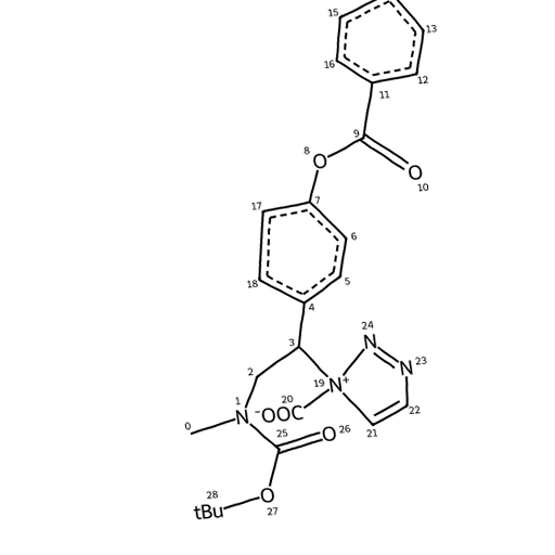 CN(CC(c1ccc(OC(=O)c2ccccc2)cc1)[N+]1(C(=O)[O-])C=CN=N1)C(=O)OC(C)(C)C